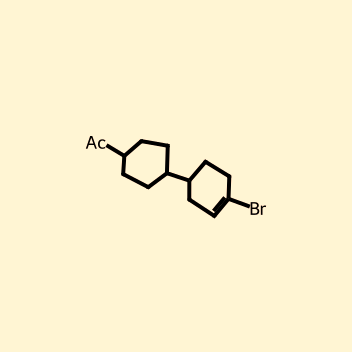 CC(=O)C1CCC(C2CC=C(Br)CC2)CC1